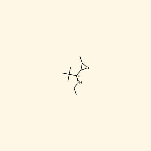 CCN[C@H](C1OC1C)C(C)(C)C